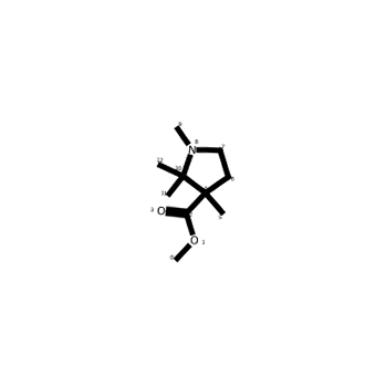 COC(=O)C1(C)CCN(C)C1(C)C